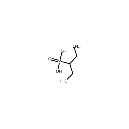 [CH2]CC(CC)P(=O)(O)O